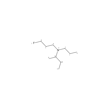 CCCN(CCCF)C(C)CC